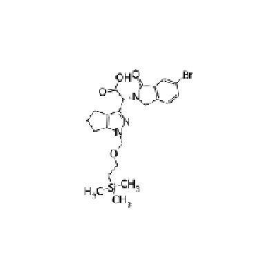 C[Si](C)(C)CCOCn1nc([C@H](C(=O)O)N2Cc3ccc(Br)cc3C2=O)c2c1CCC2